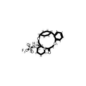 O=C1COc2ccccc2C2CCC(CC2)OC[C@H]2[C@@H](NS(=O)(=O)C(F)(F)F)CCCN12